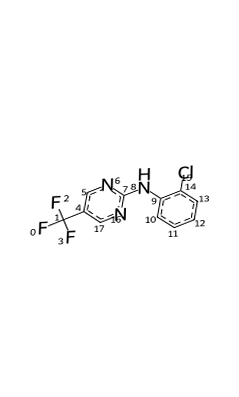 FC(F)(F)c1cnc(Nc2ccccc2Cl)nc1